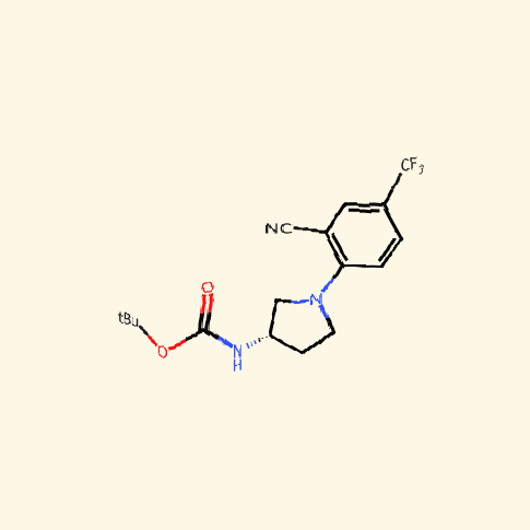 CC(C)(C)OC(=O)N[C@H]1CCN(c2ccc(C(F)(F)F)cc2C#N)C1